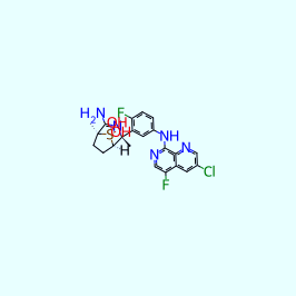 C[C@]12CC[C@H]([C@@](C)(c3cc(Nc4ncc(F)c5cc(Cl)cnc45)ccc3F)N=C1N)S2(O)O